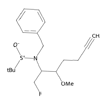 C#CCCC(OC)C(CF)N(Cc1ccccc1)[S+]([O-])C(C)(C)C